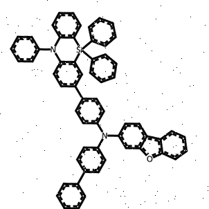 c1ccc(-c2ccc(N(c3ccc(-c4ccc5c(c4)[Si](c4ccccc4)(c4ccccc4)c4ccccc4N5c4ccccc4)cc3)c3ccc4c(c3)oc3ccccc34)cc2)cc1